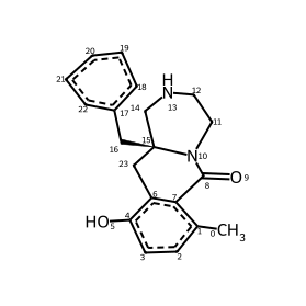 Cc1ccc(O)c2c1C(=O)N1CCNC[C@@]1(Cc1ccccc1)C2